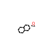 C1CO1.c1ccc2ccccc2c1